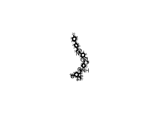 CCN(Cc1ccc(-c2ncc(-c3ccc(-c4ccc(C)cc4)cc3)o2)cc1)C(=O)c1ccc(NC(=O)Cc2ccc(OC)cc2C(F)(F)F)cc1